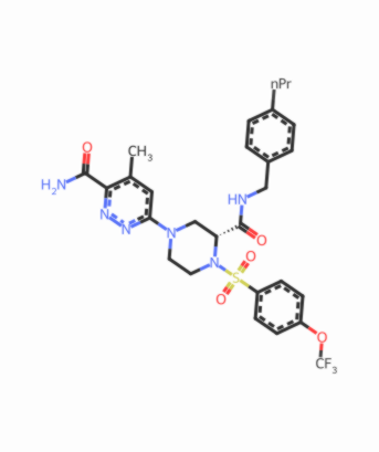 CCCc1ccc(CNC(=O)[C@H]2CN(c3cc(C)c(C(N)=O)nn3)CCN2S(=O)(=O)c2ccc(OC(F)(F)F)cc2)cc1